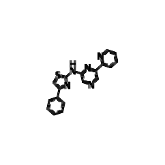 c1ccc(-c2csc(Nc3cncc(-c4ccccn4)n3)n2)cc1